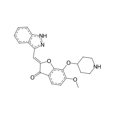 COc1ccc2c(c1OC1CCNCC1)O/C(=C\c1n[nH]c3ccccc13)C2=O